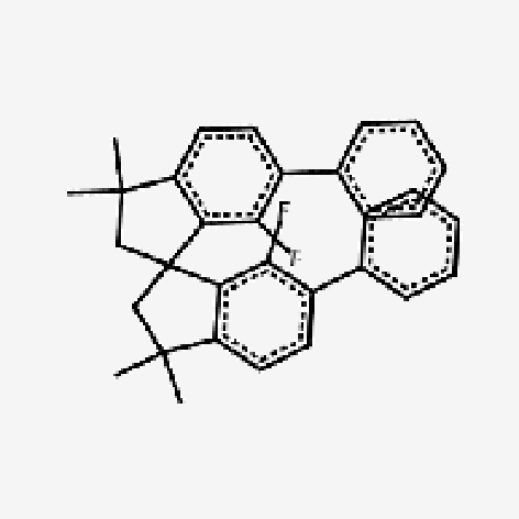 CC1(C)CC2(CC(C)(C)c3ccc(-c4ccccc4)c(F)c32)c2c1ccc(-c1ccccc1)c2F